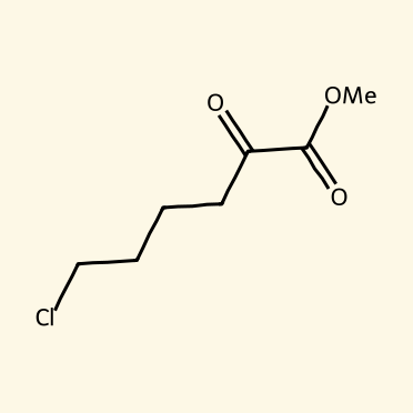 COC(=O)C(=O)CCCCCl